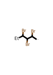 [CH2]CC(Br)C(Br)C([CH2])Br